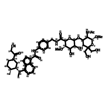 CO[C@@H]1OC(CO)(CO)CC(O[C@@H]2OC(C(=O)NCc3ccc(NC(=O)n4ccc5c(N(C)[C@H]6CN(C(=O)CC#N)CC[C@H]6C)ncnc54)nc3)[C@@H](OC)C(O)C2O)C1NC(C)=O